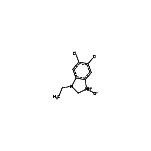 CCN1C[NH+]([O-])c2cc(Cl)c(Cl)cc21